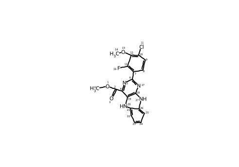 COC(=O)c1nc(-c2ccc(Cl)c(OC)c2F)nc2c1Nc1ccccc1N2